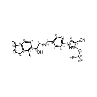 Cc1c([C@@H](O)CNCc2ccc(-n3cc(C#N)c(OC(F)F)n3)nc2)ccc2c1COC2=O